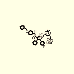 CC(C)c1c(C(=O)Nc2ccc(OCc3ccccc3)cc2)c(-c2ccccc2)c(-c2ccc(F)cc2)n1CC[C@@H]1C[C@H](CC(=O)OC(C)(C)C)OC(C)(C)O1